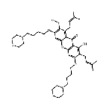 CC(C)=CCc1c(OCCCCN2CCCCC2)cc2oc3cc(OCCCCN4CCOCC4)c(CO)c(CC=C(C)C)c3c(=O)c2c1O